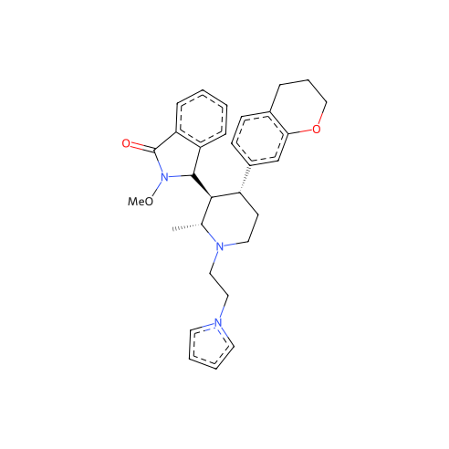 CON1C(=O)c2ccccc2C1[C@@H]1[C@@H](C)N(CCn2cccc2)CC[C@H]1c1ccc2c(c1)OCCC2